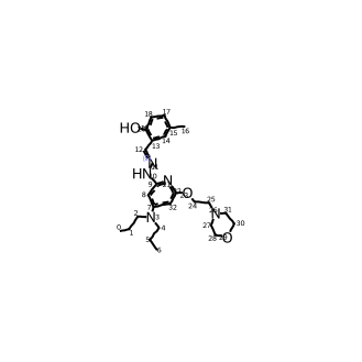 CCCN(CCC)c1cc(N/N=C/c2cc(C)ccc2O)nc(OCCN2CCOCC2)c1